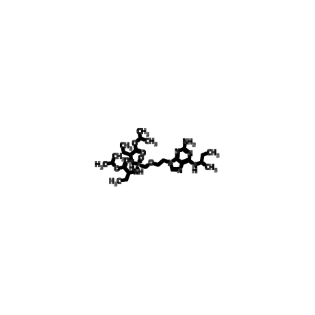 CCC(C)Nc1nc(N)nc2c1ncn2CCOCP(=O)(NC(CC)C(=O)OC(C)C)NC(CC)C(=O)OC(C)C